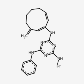 C=C1/C=C(Nc2nc(Nc3ccccc3)nc(NC(C)C)n2)\C=C/CCCC1